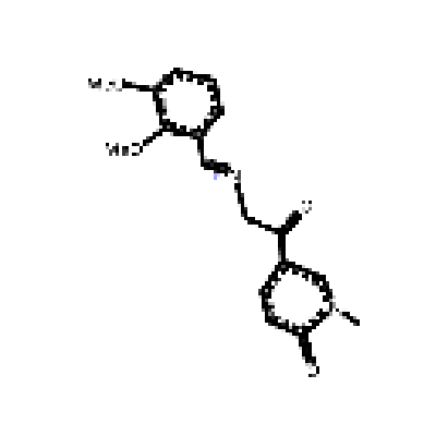 COc1cccc(/C=N/CC(=O)c2ccc(=O)n(C)c2)c1OC